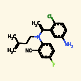 C=C(C)CCN(C(=C)c1cc(N)ccc1Cl)c1ccc(F)cc1C#N